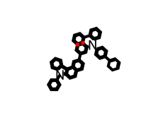 C1=CCCC(c2ccc(N(c3cccc(-c4ccc5ccc6c(c5c4)c4ccccc4n6-c4ccccc4)c3)c3ccccc3-c3ccccc3)cc2)=C1